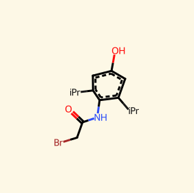 CC(C)c1cc(O)cc(C(C)C)c1NC(=O)CBr